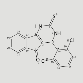 O=C1C2=C(NC(=S)NC2c2c(Cl)cccc2Cl)c2ccccc21